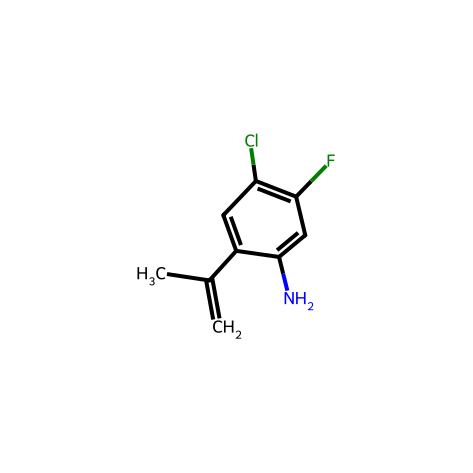 C=C(C)c1cc(Cl)c(F)cc1N